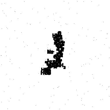 Nc1nnc(-c2ccccc2OCOP(=O)(O)O)cc1-n1cc(N2CCN(C3CCC(c4cccc5c4OCCN5[C@H]4CCC(=O)NC4=O)CC3)CC2=O)cn1.[Na]